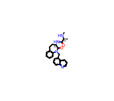 CN[C@@H](C)C(=O)N[C@H]1CCc2ccccc2N(Cc2cccc3ncccc23)C1=O